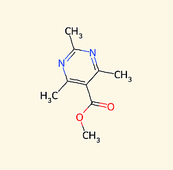 COC(=O)c1c(C)nc(C)nc1C